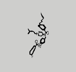 CCCCCc1ccc(C(=O)N(Cc2ccc(NC(=O)c3cccc(F)c3)cc2)C2CCN(CCC(C)C)CC2)cc1